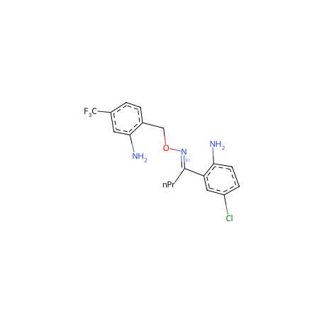 CCC/C(=N\OCc1ccc(C(F)(F)F)cc1N)c1cc(Cl)ccc1N